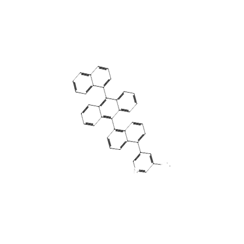 N#Cc1cncc(-c2cccc3c(-c4c5ccccc5c(-c5cccc6ccccc56)c5ccccc45)cccc23)c1